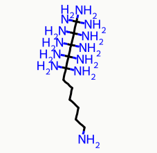 NCCCCCCC(N)(N)C(N)(N)C(N)(N)C(N)(N)C(N)(N)N